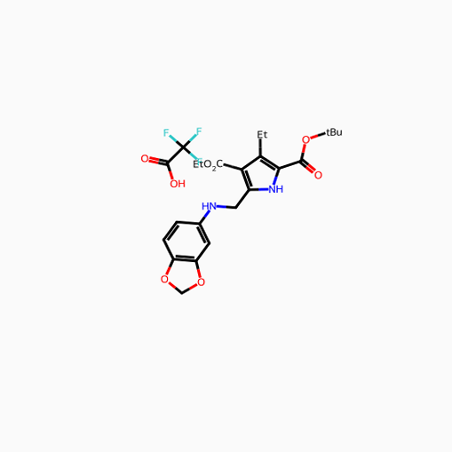 CCOC(=O)c1c(CNc2ccc3c(c2)OCO3)[nH]c(C(=O)OC(C)(C)C)c1CC.O=C(O)C(F)(F)F